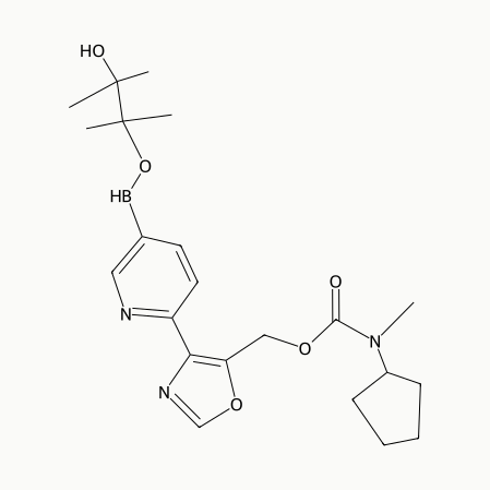 CN(C(=O)OCc1ocnc1-c1ccc(BOC(C)(C)C(C)(C)O)cn1)C1CCCC1